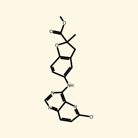 COC(=O)C1(C)Cc2cc(Nc3ncnc4ccc(Cl)nc34)ccc2O1